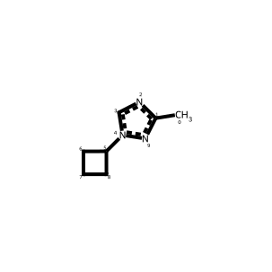 Cc1ncn(C2CCC2)n1